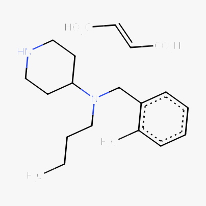 FC(F)(F)CCCN(Cc1ccccc1C(F)(F)F)C1CCNCC1.O=C(O)C=CC(=O)O